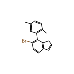 Cc1ccc(C)c(-c2c(Br)ccc3c2CC=C3)c1